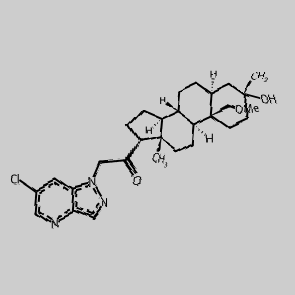 COC[C@]12CC[C@@](C)(O)C[C@@H]1CC[C@H]1[C@@H]3CC[C@H](C(=O)Cn4ncc5ncc(Cl)cc54)[C@@]3(C)CC[C@@H]12